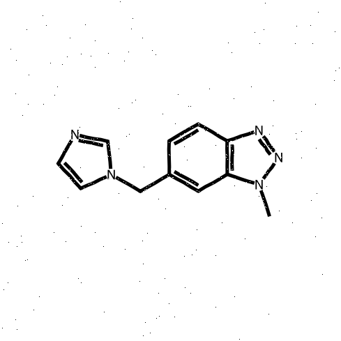 Cn1nnc2ccc(Cn3ccnc3)cc21